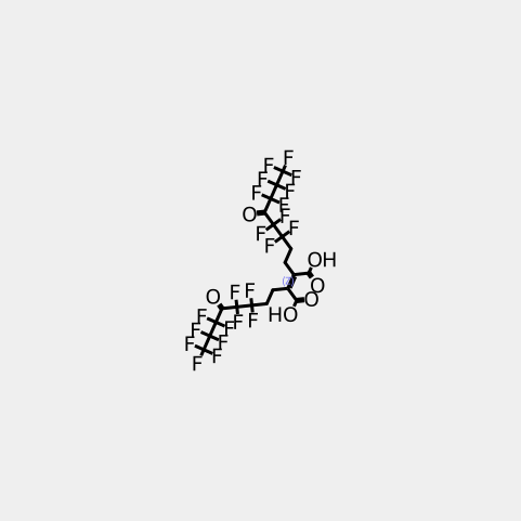 O=C(O)/C(CCC(F)(F)C(F)(F)C(=O)C(F)(F)C(F)(F)C(F)(F)F)=C(/CCC(F)(F)C(F)(F)C(=O)C(F)(F)C(F)(F)C(F)(F)F)C(=O)O